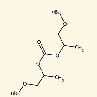 CCCCOCC(C)OC(=O)OC(C)COCCCC